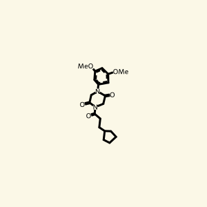 COc1cc(OC)cc(N2CC(=O)N(C(=O)CCC3CCCC3)CC2=O)c1